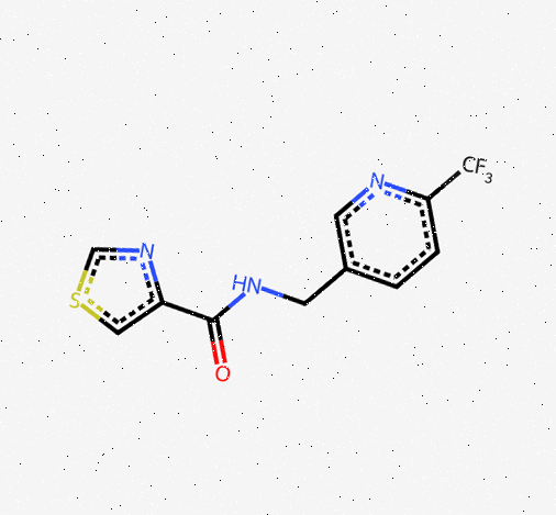 O=C(NCc1ccc(C(F)(F)F)nc1)c1cscn1